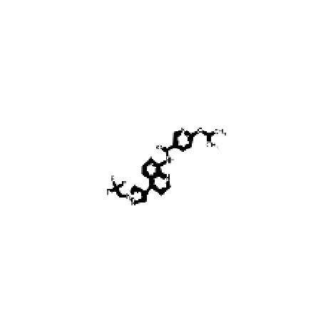 CC(C)Oc1ccc(C(=O)Nc2cccc3c(-c4cnn(CC(F)(F)F)c4)ccnc23)cn1